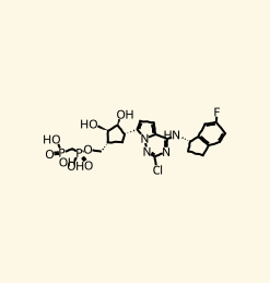 O=P(O)(O)CP(=O)(O)OC[C@H]1C[C@@H](c2ccc3c(N[C@H]4CCc5ccc(F)cc54)nc(Cl)nn23)[C@H](O)[C@@H]1O